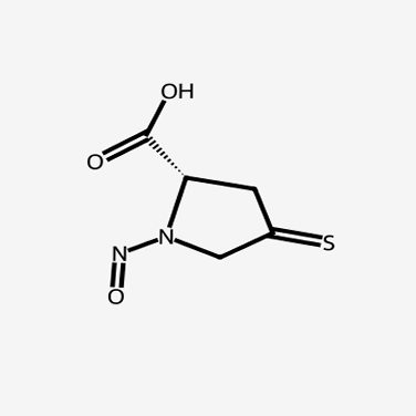 O=NN1CC(=S)C[C@H]1C(=O)O